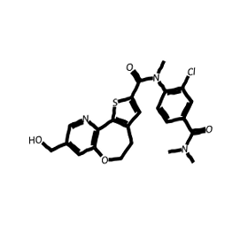 CN(C)C(=O)c1ccc(N(C)C(=O)c2cc3c(s2)-c2ncc(CO)cc2OCC3)c(Cl)c1